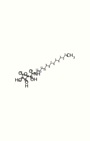 CCCCCCCCCCCC/C=C/NC(=O)[C@H](O)[C@H]1OC(=O)[C@@H](O)[C@H]1O